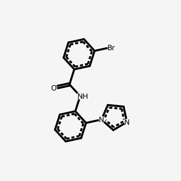 O=C(Nc1ccccc1-n1ccnc1)c1cccc(Br)c1